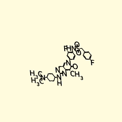 Cc1c(=O)n(-c2ccc(NS(=O)(=O)Cc3ccc(F)cc3)c(F)c2)cc2cnc(NC3CCC(N(C)C)CC3)nc12